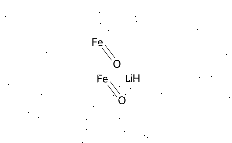 [LiH].[O]=[Fe].[O]=[Fe]